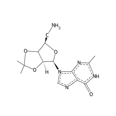 Cc1nc2c(ncn2[C@@H]2O[C@H](CN)C3OC(C)(C)O[C@@H]32)c(=O)[nH]1